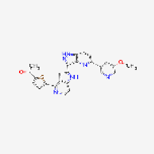 COc1cncc(-c2ccc3[nH]nc(-c4cc5c(-c6ccc(C(C)=O)s6)nccc5[nH]4)c3n2)c1